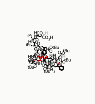 CC(C)C[C@@H](NC(=O)[C@H](Cc1cn(C(=O)OC(C)(C)C)c2ccccc12)NC(=O)[C@H](CCNC(=O)OC(C)(C)C)NC(=O)[C@H](CCNC(=O)OC(C)(C)C)NC(=O)[C@H](CCCCN)NC(=O)[C@H](NC(=O)[C@H](Cc1cn(C(=O)OC(C)(C)C)c2ccccc12)NC(=O)[C@H](CCNC(=O)OC(C)(C)C)NC(=O)[C@@H](N)CCNC(=O)OC(C)(C)C)[C@H](C)OC(C)(C)C)C(=O)N[C@H](CC(C)C)C(=O)N[C@@H](CCC(=O)O)C(=O)O